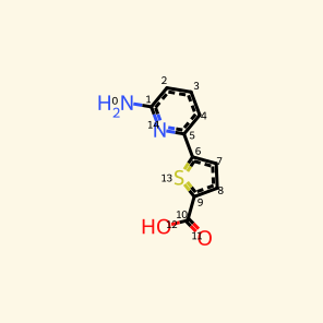 Nc1cccc(-c2ccc(C(=O)O)s2)n1